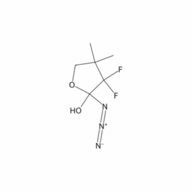 CC1(C)COC(O)(N=[N+]=[N-])C1(F)F